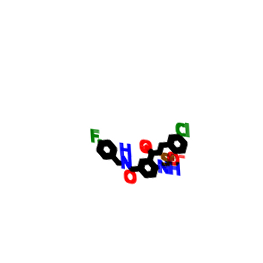 O=C(NCc1ccc(F)cc1)c1ccc2c(c1)C(=O)C(Cc1cccc(Cl)c1)[S+]([O-])N2